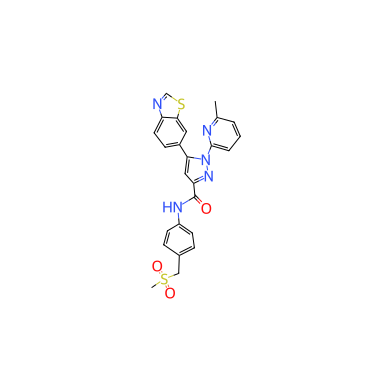 Cc1cccc(-n2nc(C(=O)Nc3ccc(CS(C)(=O)=O)cc3)cc2-c2ccc3ncsc3c2)n1